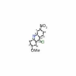 COc1ccc2nc3cc([N+](=O)[O-])ccc3c(Cl)c2c1